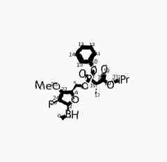 CB[C@@H]1O[C@H](COP(=O)(Oc2ccccc2)[C@@H](C)C(=O)OC(C)C)C(OC)[C@@H]1F